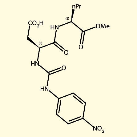 CCC[C@H](NC(=O)[C@H](CC(=O)O)NC(=O)Nc1ccc([N+](=O)[O-])cc1)C(=O)OC